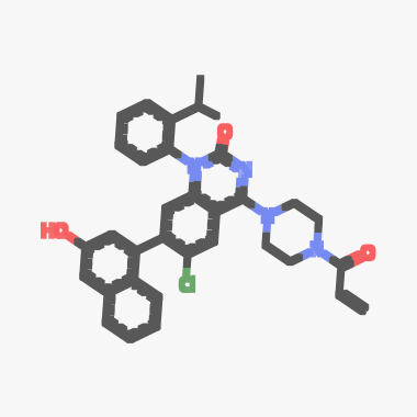 C=CC(=O)N1CCN(c2nc(=O)n(-c3ccccc3C(C)C)c3cc(-c4cc(O)cc5ccccc45)c(Cl)cc23)CC1